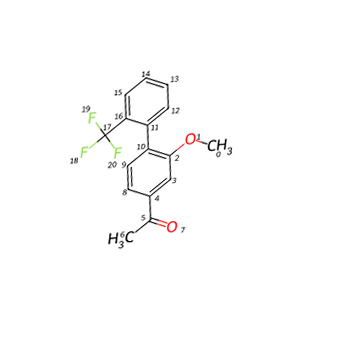 COc1cc(C(C)=O)ccc1-c1ccccc1C(F)(F)F